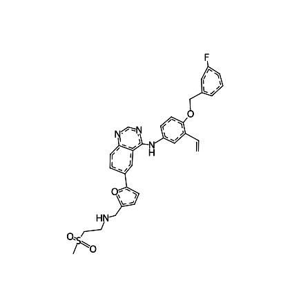 C=Cc1cc(Nc2ncnc3ccc(-c4ccc(CNCCS(C)(=O)=O)o4)cc23)ccc1OCc1cccc(F)c1